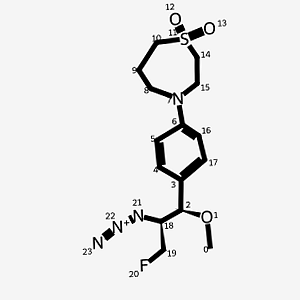 CO[C@H](c1ccc(N2CCCS(=O)(=O)CC2)cc1)[C@@H](CF)N=[N+]=[N-]